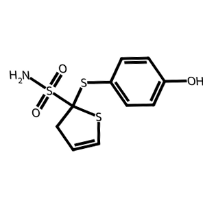 NS(=O)(=O)C1(Sc2ccc(O)cc2)CC=CS1